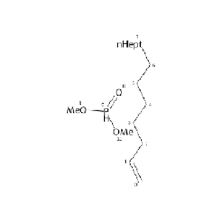 C=CCCCCCCCCCCCC.CO[PH](=O)OC